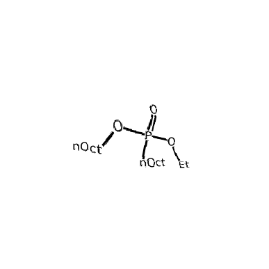 CCCCCCCCOP(=O)(CCCCCCCC)OCC